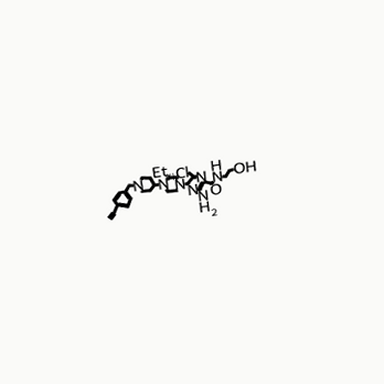 C#Cc1ccc(CN2CCC(N3CCN(c4nc(N)c(C(=O)NCCO)nc4Cl)C[C@@H]3CC)CC2)cc1